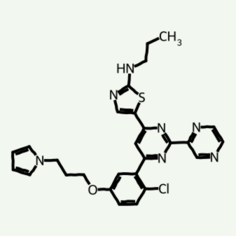 CCCNc1ncc(-c2cc(-c3cc(OCCCn4cccc4)ccc3Cl)nc(-c3cnccn3)n2)s1